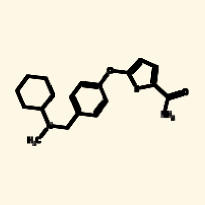 CN(Cc1ccc(Oc2ccc(C(N)=O)s2)cc1)C1CCCCC1